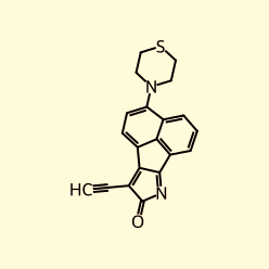 C#CC1=C2C(=NC1=O)c1cccc3c(N4CCSCC4)ccc2c13